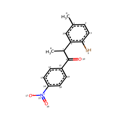 Cc1ccc(S)c(C(C)C(=O)c2ccc([N+](=O)[O-])cc2)c1